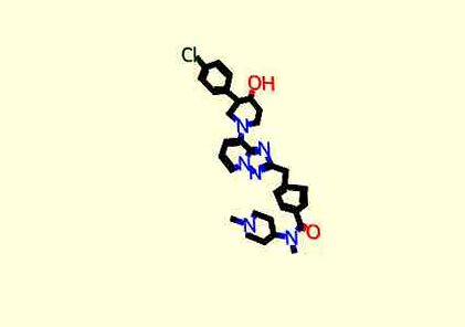 CN1CCC(N(C)C(=O)c2ccc(Cc3nc4c(N5CCC(O)C(c6ccc(Cl)cc6)C5)cccn4n3)cc2)CC1